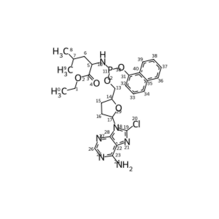 CCOC(=O)C(CC(C)C)NP(OCC1CCC(n2c(Cl)nc3c(N)ncnc32)O1)Oc1cccc2ccccc12